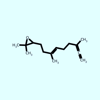 C=C=C(C)CCC=C(C)CCC1OC1(C)C